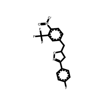 O=[N+]([O-])c1ccc(CC2CC(c3ccc(F)cc3)=NO2)cc1C(F)(F)F